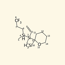 C=C[Si](C)([SiH](C)CCC(F)(F)F)C1([SiH3])CCCCO1